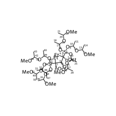 CCCCCCCCC(CC)(C(=O)C(CC)(CCCCCCCC)[Si](OC(C)OC(C)OC)(OC(C)OC(C)OC)OC(C)OC(C)OC)[Si](OC(C)OC(C)OC)(OC(C)OC(C)OC)OC(C)OC(C)OC